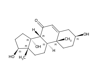 C[C@]12CC[C@H](O)CC1=CC(=O)[C@@H]1[C@@H]2CC[C@]2(C)[C@@H](O)CC[C@@]12O